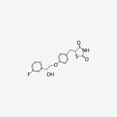 O=C1NC(=O)C(Cc2ccc(OC[C@H](O)c3cccc(F)c3)cc2)S1